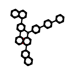 c1ccc(-c2ccc(-c3ccc(N(c4ccc(-c5ccc6ccccc6c5)cc4)c4cc(-c5cccc6ccccc56)ccc4-c4ccccc4)cc3)cc2)cc1